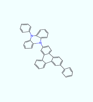 c1ccc(-c2ccc3c4ccc(N5c6ccccc6N(c6ccccc6)c6ccccc65)cc4c4ccccc4c3c2)cc1